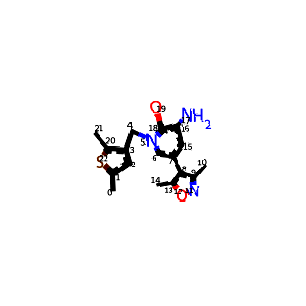 Cc1cc(Cn2cc(-c3c(C)noc3C)cc(N)c2=O)c(C)s1